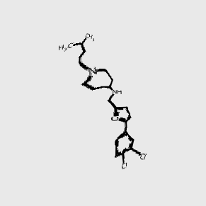 CC(C)CCN1CCC(NCc2ccc(-c3ccc(Cl)c(Cl)c3)o2)CC1